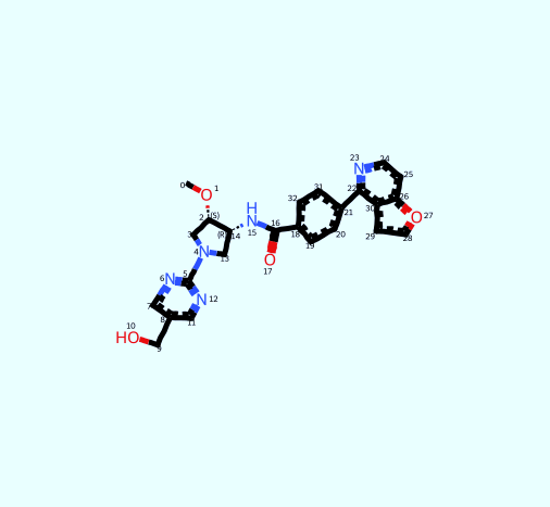 CO[C@H]1CN(c2ncc(CO)cn2)C[C@H]1NC(=O)c1ccc(-c2nccc3occc23)cc1